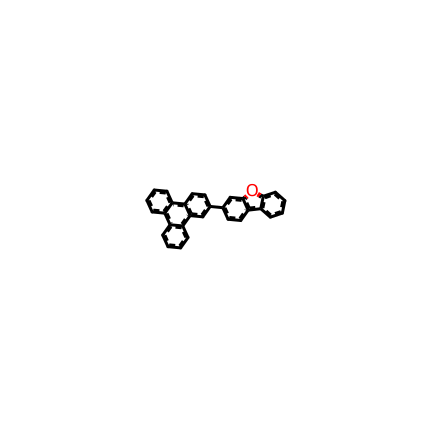 c1ccc2c(c1)oc1cc(-c3ccc4c5ccccc5c5ccccc5c4c3)ccc12